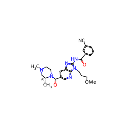 COCCCn1c(NC(=O)c2cccc(C#N)c2)nc2cc(C(=O)N3CCN(C)C[C@H]3C)cnc21